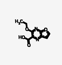 CCOc1nc2occc2nc1C(=O)O